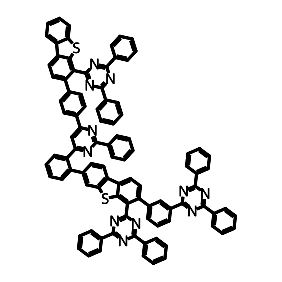 c1ccc(-c2nc(-c3ccc(-c4ccc5c(sc6ccccc65)c4-c4nc(-c5ccccc5)nc(-c5ccccc5)n4)cc3)cc(-c3ccccc3-c3ccc4c(c3)sc3c(-c5nc(-c6ccccc6)nc(-c6ccccc6)n5)c(-c5cccc(-c6nc(-c7ccccc7)nc(-c7ccccc7)n6)c5)ccc34)n2)cc1